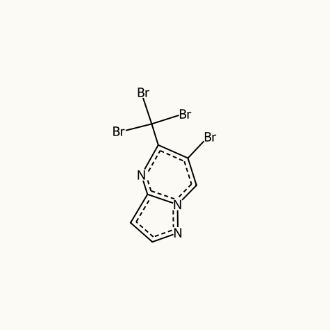 Brc1cn2nccc2nc1C(Br)(Br)Br